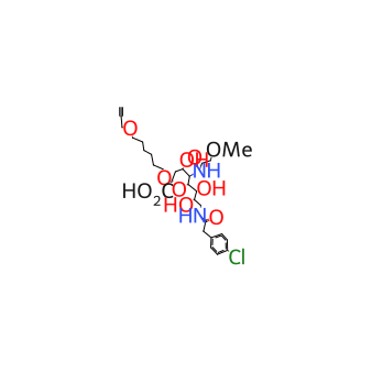 C#CCOCCCCCCO[C@]1(C(=O)O)C[C@H](O)[C@@H](NC(=O)COC)[C@H]([C@H](O)[C@H](O)CNC(=O)Cc2ccc(Cl)cc2)O1